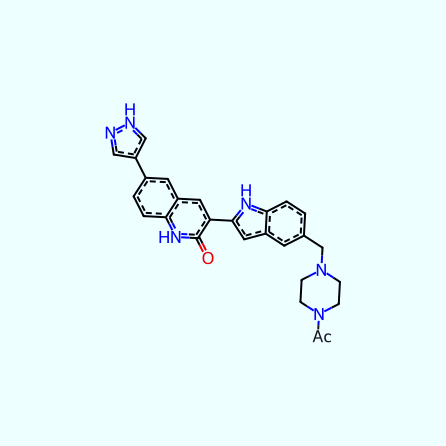 CC(=O)N1CCN(Cc2ccc3[nH]c(-c4cc5cc(-c6cn[nH]c6)ccc5[nH]c4=O)cc3c2)CC1